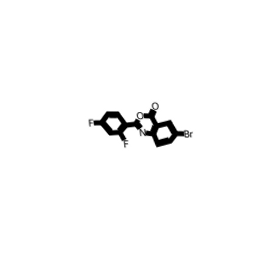 O=c1oc(-c2ccc(F)cc2F)nc2ccc(Br)cc12